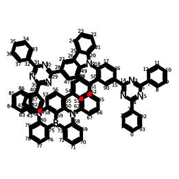 c1ccc(-c2nc(-c3ccccc3)nc(-c3ccc(-n4c5ccccc5c5cc(-c6nc(-c7ccccc7)nc(-c7ccccc7)n6)ccc54)c(-c4ccc(-c5ccc6c7c5N(c5ccccc5)c5ccccc5B7c5ccccc5N6c5ccccc5)cc4)c3)n2)cc1